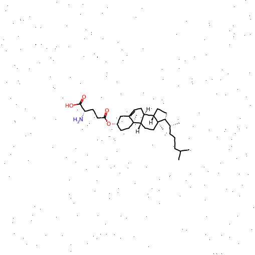 CC(C)CCC[C@@H](C)[C@H]1CC[C@H]2[C@@H]3CC=C4C[C@@H](OC(=O)CC[C@H](N)C(=O)O)CC[C@]4(C)[C@H]3CC[C@]12C